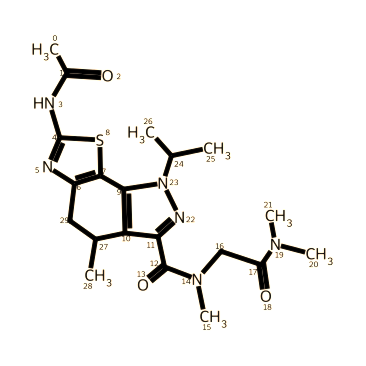 CC(=O)Nc1nc2c(s1)-c1c(c(C(=O)N(C)CC(=O)N(C)C)nn1C(C)C)C(C)C2